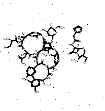 CC(=O)OCC1=C(C(=O)O)N2C(=O)[C@@H](NC(=O)Cc3cccs3)[C@H]2SC1.CN[C@H](CC(C)C)C(=O)N[C@H]1C(=O)N[C@@H](CC(N)=O)C(=O)N[C@H]2C(=O)N[C@H]3C(=O)N[C@H](C(=O)N[C@@H](C(=O)O)c4cc(O)cc(O)c4-c4cc3ccc4O)[C@H](O)c3ccc(c(Cl)c3)Oc3cc2cc(c3O[C@@H]2O[C@H](CO)[C@@H](O)[C@H](O)[C@H]2O[C@H]2C[C@](C)(N)C(O)[C@H](C)O2)Oc2ccc(cc2Cl)[C@H]1O